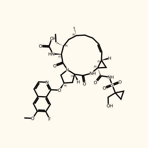 CC[C@@H]1C[C@H](C)CCC=C[C@@H]2C[C@@]2(C(=O)NS(=O)(=O)C2(CO)CC2)NC(=O)[C@@H]2C[C@@H](Oc3nccc4cc(OC)c(F)cc34)CN2C(=O)[C@H]1NC(=O)O